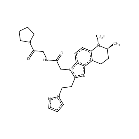 C[C@H]1CCc2c(ccc3c2nc(CCn2cccn2)n3CC(=O)NCC(=O)N2CCCC2)N1C(=O)O